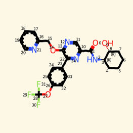 O=C(N[C@@H]1CCCC[C@H]1O)c1cnc(OCc2ccccn2)c(-c2ccc(OC(F)(F)F)cc2)n1